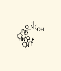 Cc1ccc(NC(=O)C2(c3ccccc3C(C)C)CN(C(=O)CNC(C)CO)C2)c(OC(F)F)n1